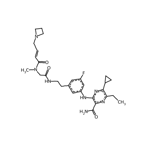 CCc1nc(C(N)=O)c(Nc2cc(F)cc(CCNC(=O)CN(C)C(=O)C=CCN3CCC3)c2)nc1C1CC1